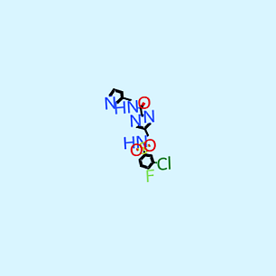 O=C(NCc1cccnc1)c1ncc(CNS(=O)(=O)c2ccc(F)c(Cl)c2)cn1